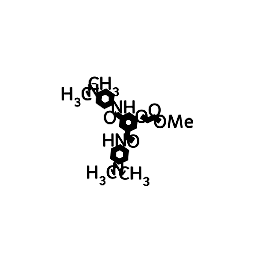 COC(=O)COc1cc(C(=O)N[C@H]2CC[C@H](N(C)C)CC2)cc(C(=O)N[C@H]2CC[C@H](N(C)C)CC2)c1